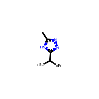 CCCCC(CCC)c1nnc(C)[nH]1